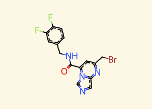 O=C(NCc1ccc(F)c(F)c1)c1cc(CBr)nc2cncn12